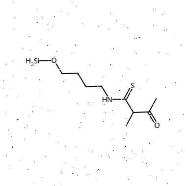 CC(=O)C(C)C(=S)NCCCCO[SiH3]